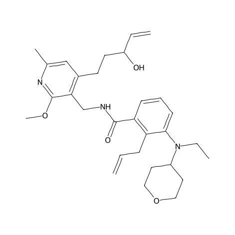 C=CCc1c(C(=O)NCc2c(CCC(O)C=C)cc(C)nc2OC)cccc1N(CC)C1CCOCC1